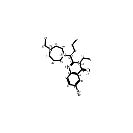 CCC[C@@H](c1nc2ccc(Br)cc2c(=O)n1CC)N1CCCN(CC)CC1